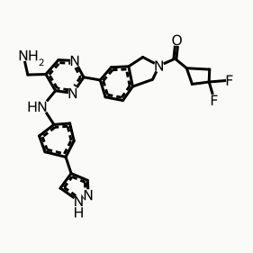 NCc1cnc(-c2ccc3c(c2)CN(C(=O)C2CC(F)(F)C2)C3)nc1Nc1ccc(-c2cn[nH]c2)cc1